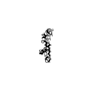 CC(C)(C)OC(=O)Nc1cscc1NC(=O)c1ccc(CN(CCCN2CCOCC2)C(=O)Nc2ccsc2)cn1